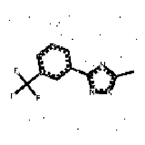 Cc1nc(-c2cccc(C(F)(F)F)c2)ns1